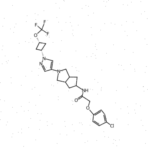 O=C(COc1ccc(Cl)cc1)NC1CC2CN(c3cnn([C@H]4C[C@@H](OC(F)(F)F)C4)c3)CC2C1